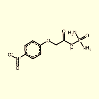 NP(N)(=O)NC(=O)COc1ccc([N+](=O)[O-])cc1